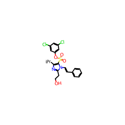 CC(C)c1nc(CCO)n(C=Cc2ccccc2)c1S(=O)(=O)Oc1cc(Cl)cc(Cl)c1